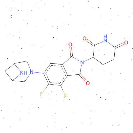 O=C1CCC(N2C(=O)c3cc(N4CC5CC(C4)N5)c(F)c(F)c3C2=O)C(=O)N1